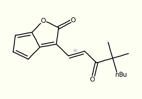 CCCCC(C)(C)C(=O)/C=C/C1=C2C=CC=C2OC1=O